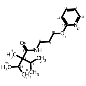 CC(C)C(C)(C(=O)NCCCOc1ccccn1)C(C)C